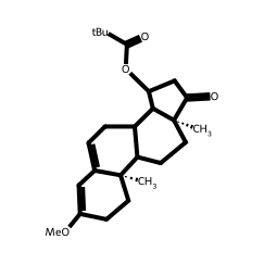 COC1=CC2=CCC3C(CC[C@]4(C)C(=O)CC(OC(=O)C(C)(C)C)C34)[C@@]2(C)CC1